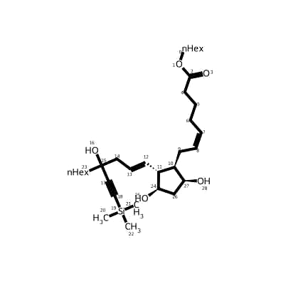 CCCCCCOC(=O)CCC/C=C\C[C@@H]1[C@@H](/C=C/CC(O)(C#C[Si](C)(C)C)CCCCCC)[C@H](O)C[C@@H]1O